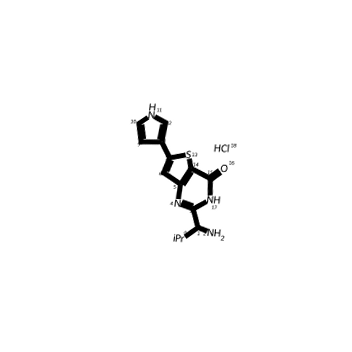 CC(C)C(N)c1nc2cc(-c3cc[nH]c3)sc2c(=O)[nH]1.Cl